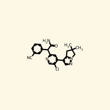 CC1(C)Cc2c(-c3cc(C(C(N)=O)c4cccc(C#N)c4)ncc3Cl)cnn2C1